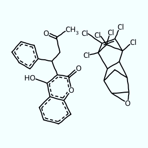 CC(=O)CC(c1ccccc1)c1c(O)c2ccccc2oc1=O.ClC1=C(Cl)C2(Cl)C3C4CC(C5OC45)C3C1(Cl)C2(Cl)Cl